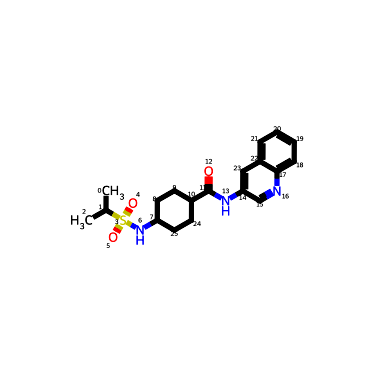 CC(C)S(=O)(=O)NC1CCC(C(=O)Nc2cnc3ccccc3c2)CC1